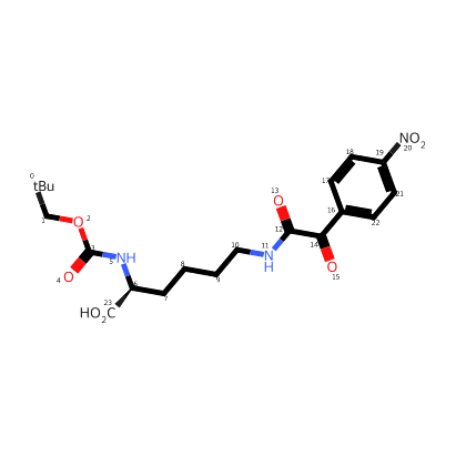 CC(C)(C)COC(=O)N[C@@H](CCCCNC(=O)C(=O)c1ccc([N+](=O)[O-])cc1)C(=O)O